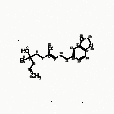 C=CCC(O)(CC)CC/C(=C/CCc1ccc2c(c1)OCO2)CC